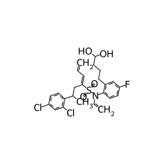 C=C/C=C(\CC(C)c1ccc(Cl)cc1Cl)S(=O)(=O)N(C=C)c1ccc(F)cc1CCCC(O)O